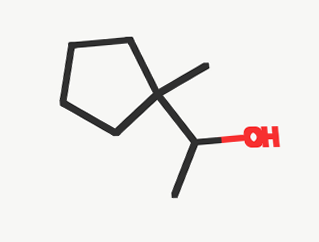 CC(O)C1(C)CCCC1